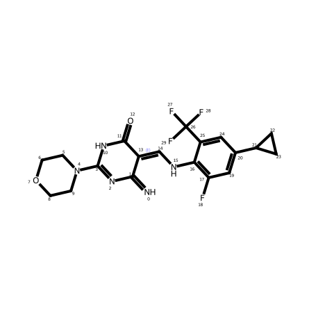 N=C1N=C(N2CCOCC2)NC(=O)/C1=C/Nc1c(F)cc(C2CC2)cc1C(F)(F)F